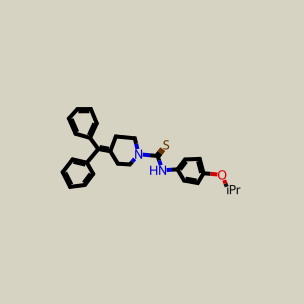 CC(C)Oc1ccc(NC(=S)N2CCC(=C(c3ccccc3)c3ccccc3)CC2)cc1